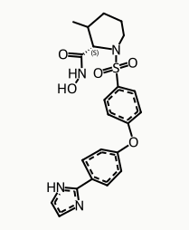 CC1CCCN(S(=O)(=O)c2ccc(Oc3ccc(-c4ncc[nH]4)cc3)cc2)[C@@H]1C(=O)NO